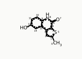 Cc1cc2c(s1)c(=O)[nH]c1ccc(O)cc12